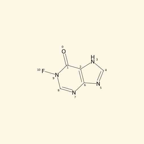 O=c1c2[nH]cnc2ncn1F